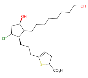 O=C(O)C1CC=C(CCC[C@H]2C(Cl)C[C@@H](O)C2CCCCCCCCO)S1